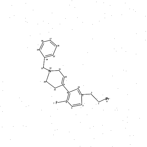 C[C](C)CCc1ccc(F)c(C2=CCN(Cc3ccccc3)CC2)c1